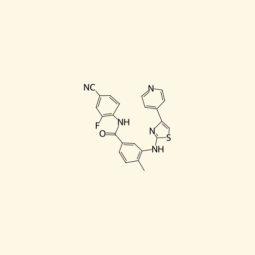 Cc1ccc(C(=O)Nc2ccc(C#N)cc2F)cc1Nc1nc(-c2ccncc2)cs1